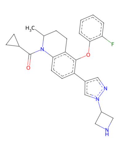 CC1CCc2c(ccc(-c3cnn(C4CNC4)c3)c2Oc2ccccc2F)N1C(=O)C1CC1